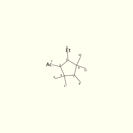 CCC1C(C(C)=O)C(C)(C)C(C)C1(C)C